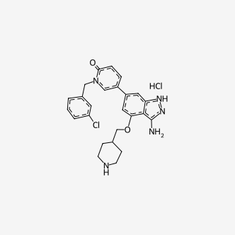 Cl.Nc1n[nH]c2cc(-c3ccc(=O)n(Cc4cccc(Cl)c4)c3)cc(OCC3CCNCC3)c12